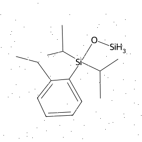 CCc1ccccc1[Si](O[SiH3])(C(C)C)C(C)C